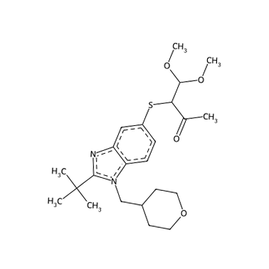 COC(OC)C(Sc1ccc2c(c1)nc(C(C)(C)C)n2CC1CCOCC1)C(C)=O